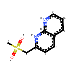 CS(=O)(=O)Cc1ccc2cccnc2n1